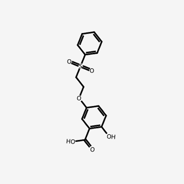 O=C(O)c1cc(OCCS(=O)(=O)c2ccccc2)ccc1O